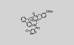 COc1ccc2c(c1)CN(C(=O)OCC1c3ccccc3-c3ccccc31)[C@H]([C@H](O)CNC(=O)c1cc(Cl)ncn1)C2